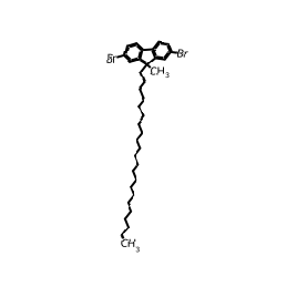 CCCCCCCCCCCCCCCCCCCCCCC1(C)c2cc(Br)ccc2-c2ccc(Br)cc21